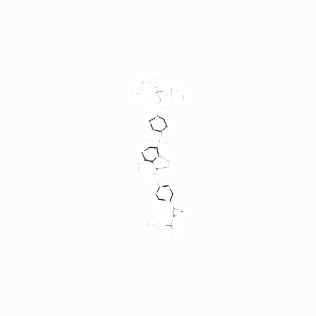 CC(C)(O)COc1ccc(Oc2ccc(F)c3c2CCC3Oc2ccc(C3CC3C(=O)O)cc2)cc1